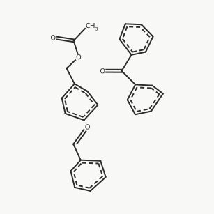 CC(=O)OCc1ccccc1.O=C(c1ccccc1)c1ccccc1.O=Cc1ccccc1